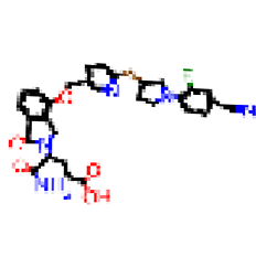 N#Cc1ccc(N2CCC(Sc3ccc(COc4cccc5c4CN(C(CCC(=O)O)C(N)=O)C5=O)cn3)C2)c(F)c1